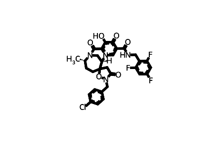 C[C@H]1CCC2(CC(=O)N(Cc3ccc(Cl)cc3)O2)[C@H]2CN1C(=O)c1c(O)c(=O)c(C(=O)NCc3c(F)cc(F)cc3F)cn12